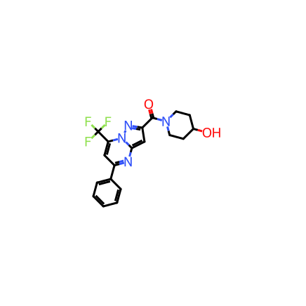 O=C(c1cc2nc(-c3ccccc3)cc(C(F)(F)F)n2n1)N1CCC(O)CC1